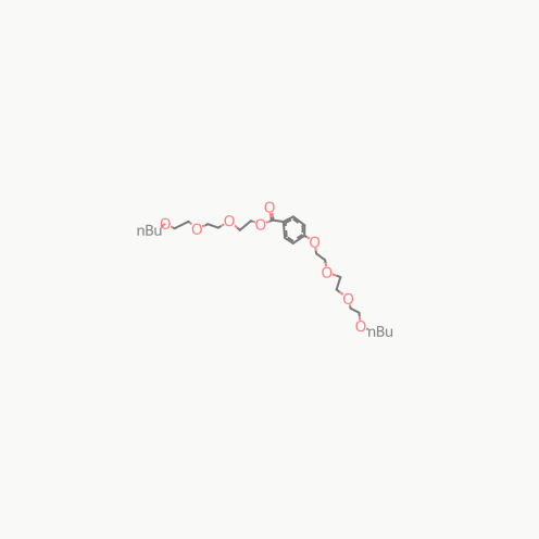 CCCCOCCOCCOCCOC(=O)c1ccc(OCCOCCOCCOCCCC)cc1